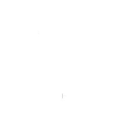 CCC(O)Cc1ccc2c(c1)OCO2